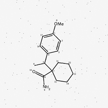 COc1ccc(C(C)C2(C(N)=O)CCCCC2)cc1